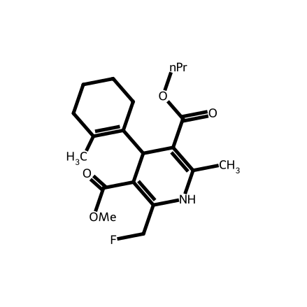 CCCOC(=O)C1=C(C)NC(CF)=C(C(=O)OC)C1C1=C(C)CCCC1